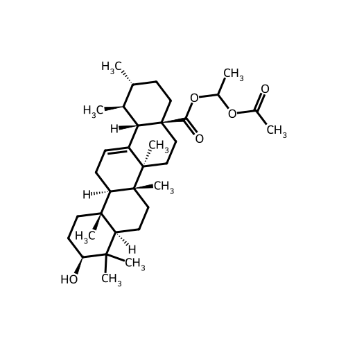 CC(=O)OC(C)OC(=O)[C@]12CC[C@@H](C)[C@H](C)[C@H]1C1=CC[C@@H]3[C@@]4(C)CC[C@H](O)C(C)(C)[C@@H]4CC[C@@]3(C)[C@]1(C)CC2